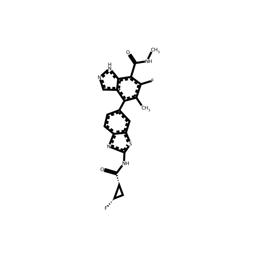 CNC(=O)c1c(F)c(C)c(-c2ccc3nc(NC(=O)[C@@H]4C[C@@H]4F)sc3c2)c2cn[nH]c12